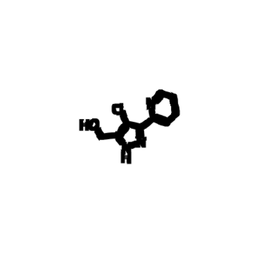 OCc1[nH]nc(-c2ccccn2)c1Cl